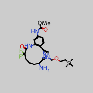 COC(=O)Nc1ccc2c(c1)NC(=O)C(F)(F)CCC[C@H](N)c1nc-2cn1COCC[Si](C)(C)C